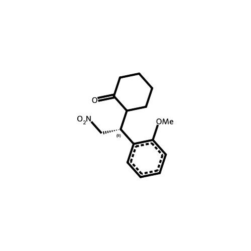 COc1ccccc1[C@H](C[N+](=O)[O-])C1CCCCC1=O